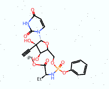 C#C[C@@]1(O)[C@H](O)C(COP(=O)(N[C@@H](CC)C(=O)OC(C)C)Oc2ccccc2)O[C@H]1n1ccc(=O)[nH]c1=O